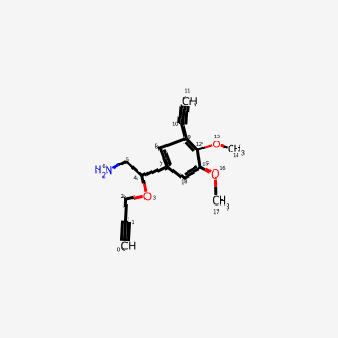 C#CCOC(CN)c1cc(C#C)c(OC)c(OC)c1